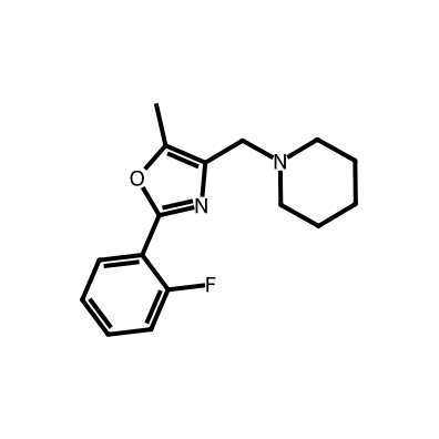 Cc1oc(-c2ccccc2F)nc1CN1CCCCC1